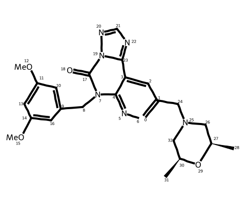 C=C(/C=c1\c(=N/C)n(Cc2cc(OC)cc(OC)c2)c(=O)n2ncnc12)CN1C[C@@H](C)O[C@@H](C)C1